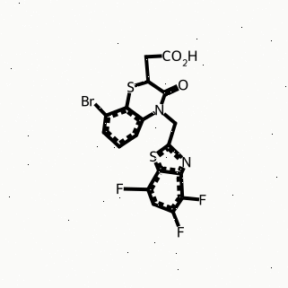 O=C(O)CC1Sc2c(Br)cccc2N(Cc2nc3c(F)c(F)cc(F)c3s2)C1=O